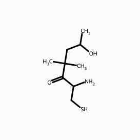 CC(O)CC(C)(C)C(=O)C(N)CS